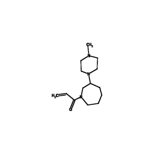 C=CC(=O)N1CCCCC(N2CCN(C)CC2)C1